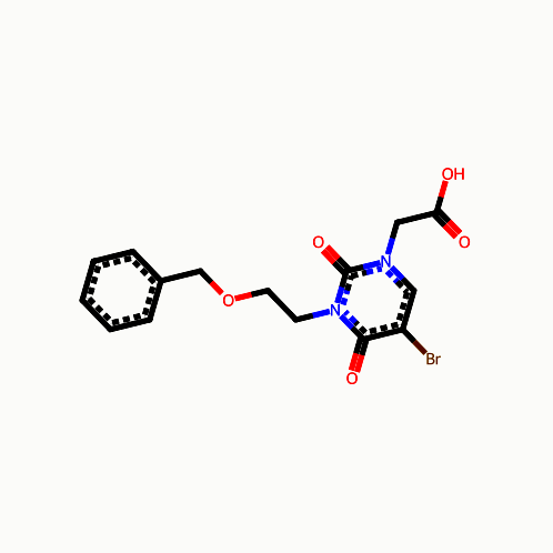 O=C(O)Cn1cc(Br)c(=O)n(CCOCc2ccccc2)c1=O